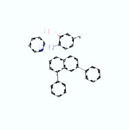 CCc1ccc(N)c(O)c1.c1ccc(-c2ccc3cccc(-c4ccccc4)c3c2)cc1.c1ccccc1